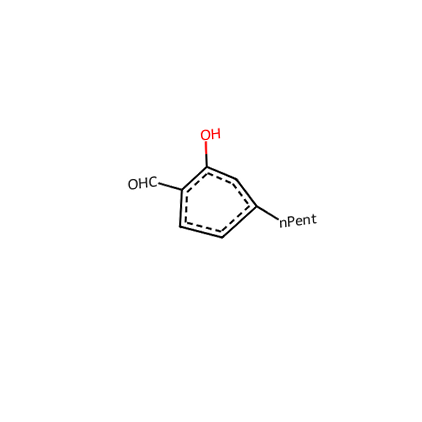 CCCCCc1ccc(C=O)c(O)c1